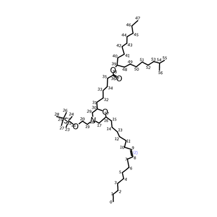 CCCCCCCC/C=C\CCCCCCC1CN(CCO[Si](C)(C)C(C)(C)C)CC(CCCCCC(=O)OC(CCCCCCCC)CCCCCCC(C)C)O1